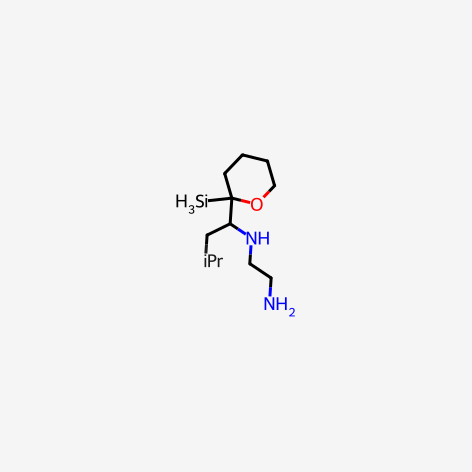 CC(C)CC(NCCN)C1([SiH3])CCCCO1